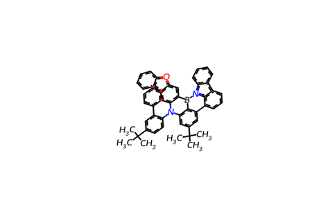 CC(C)(C)c1ccc(N2c3cc4c(cc3B3c5c(cc(C(C)(C)C)cc52)-c2cccc5c6ccccc6n3c25)oc2ccccc24)c(-c2ccccc2)c1